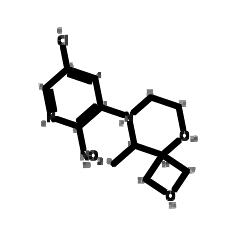 CC1N(c2cc(Cl)cnc2[N+](=O)[O-])CCOC12COC2